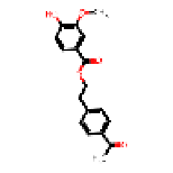 COc1cc(C(=O)OCCc2ccc(C(C)=O)cc2)ccc1O